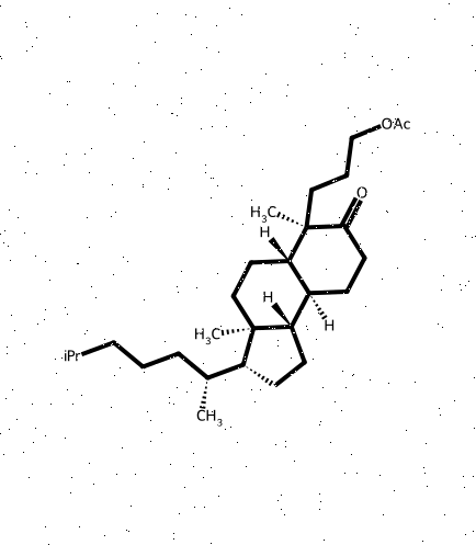 CC(=O)OCCC[C@@]1(C)C(=O)CC[C@H]2[C@@H]3CC[C@H]([C@H](C)CCCC(C)C)[C@@]3(C)CC[C@@H]21